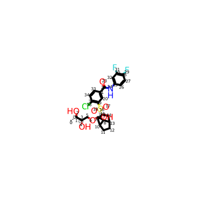 C[C@H](O)[C@@H](O)COC[C@]1(O)C2CCC1C[C@@H](S(=O)(=O)c1cc(C(=O)Nc3ccc(F)c(F)c3)ccc1Cl)C2